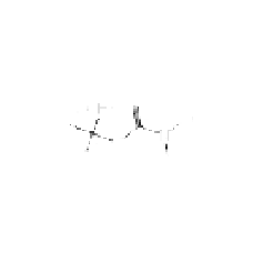 CCN(CC)C(=S)SC(C)(CC)C(=O)O